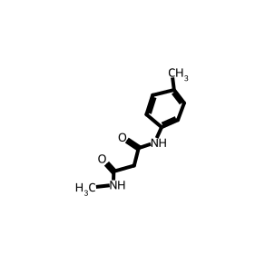 CNC(=O)CC(=O)Nc1ccc(C)cc1